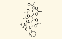 CC(=O)OC[C@@H](OC(C)=O)[C@@H](OC(C)=O)[C@H](OC(C)=O)[C@H](CN(C(N)=S)c1ccccn1)OC(C)=O